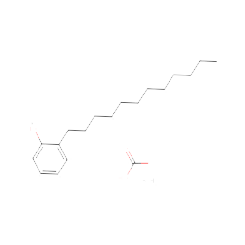 CCCCCCCCCCCCc1ccccc1O.O=C(O)O.[BaH2]